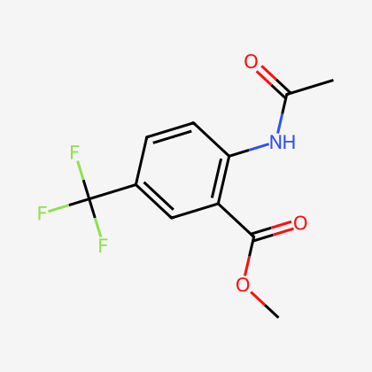 COC(=O)c1cc(C(F)(F)F)ccc1NC(C)=O